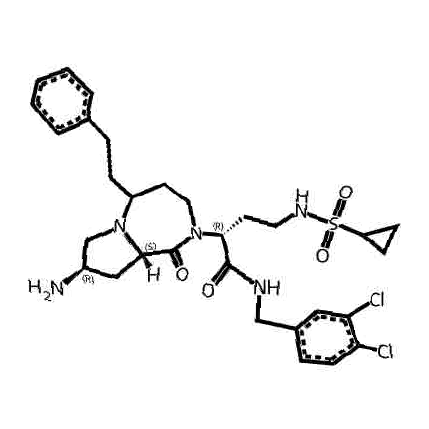 N[C@@H]1C[C@H]2C(=O)N([C@H](CCNS(=O)(=O)C3CC3)C(=O)NCc3ccc(Cl)c(Cl)c3)CCC(CCc3ccccc3)N2C1